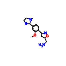 COc1cc(C2=NCCN2C)ccc1C1=NOC(CN)C1